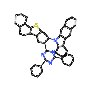 c1ccc(-c2nc(-c3ccccc3)nc(-c3cc4c(cc3-n3c5ccccc5c5cc6ccccc6cc53)sc3c5ccccc5ccc43)n2)cc1